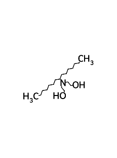 CCCCCCCC(CCCCCCC)N(CCO)CCO